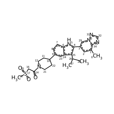 Cc1cc(-c2[nH]c3ccc(C4CCN(C(=O)CS(C)(=O)=O)CC4)cc3c2C(C)C)cn2ncnc12